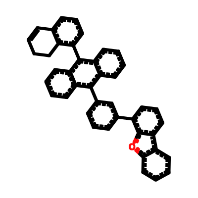 C1=Cc2cccc(-c3c4ccccc4c(-c4cccc(-c5cccc6c5oc5ccccc56)c4)c4ccccc34)c2CC1